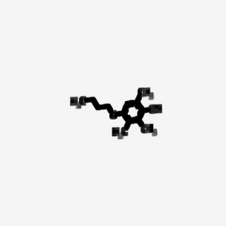 CCCCOc1cc(C)c(O)c(C)c1C